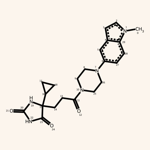 Cn1ccc2cc(N3CCN(C(=O)CCC4(C5CC5)NC(=O)NC4=O)CC3)ccc21